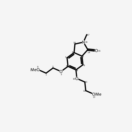 COCCOc1cc2c(cc1OCCOC)C(=O)N(C)C2